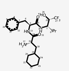 CC(C)[C@H](NC(=O)[C@H](Cc1ccccc1)NC(=O)[C@@H](N)CC1CCCCC1)[C@H](O)C(F)(F)F